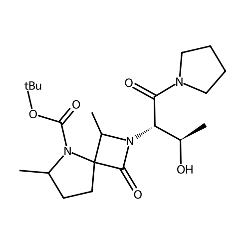 CC1CCC2(C(=O)N([C@H](C(=O)N3CCCC3)[C@@H](C)O)C2C)N1C(=O)OC(C)(C)C